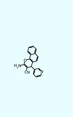 N#CC1=C(N)Oc2c(ccc3ccccc23)C1c1cccnc1